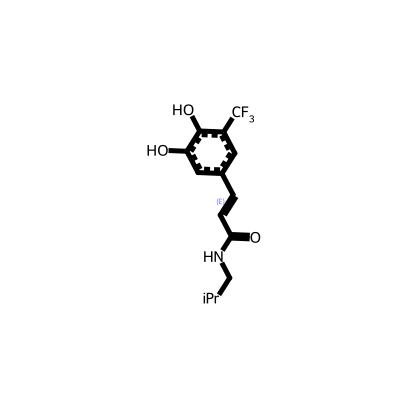 CC(C)CNC(=O)/C=C/c1cc(O)c(O)c(C(F)(F)F)c1